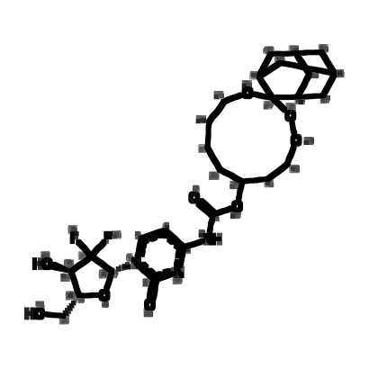 O=C(Nc1ccn([C@@H]2O[C@H](CO)[C@@H](O)C2(F)F)c(=O)n1)OC1CCCCOC2(OOCC1)C1CC3CC(C1)CC2C3